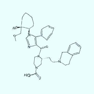 COC[C@]1(O)CCCC[C@H]1n1cnc(C(=O)N2CCN(C(=O)O)C[C@H]2CCN2CCc3ccccc3C2)c1-c1ccccc1